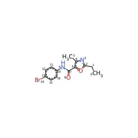 CCc1nc(C)c(C(=O)Nc2ccc(Br)cc2)o1